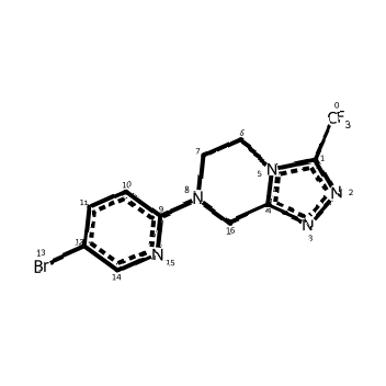 FC(F)(F)c1nnc2n1CCN(c1ccc(Br)cn1)C2